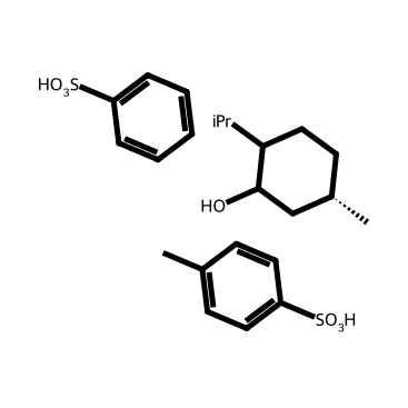 CC(C)C1CC[C@H](C)CC1O.Cc1ccc(S(=O)(=O)O)cc1.O=S(=O)(O)c1ccccc1